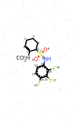 O=C(O)C1=CCCCC1S(=O)(=O)Nc1ccc(F)c(F)c1F